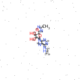 Cc1noc([C@H]2O[C@@H](n3cnc4c(NCC5CC5)ncnc43)[C@H](O)[C@@H]2O)n1